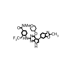 CNC(=O)c1ccc(Nc2nc(OC3CCOCC3)c3c(-c4ccc5nc(C)oc5c4)c[nH]c3n2)c(CC(F)(F)F)c1